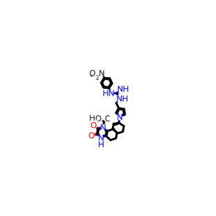 N=C(NCc1ccn(C2=CC3=C(CC2)CCc2[nH]c(=O)c(=O)n(CC(=O)O)c23)c1)Nc1ccc([N+](=O)[O-])cc1